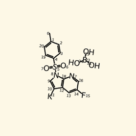 Cc1ccc(S(=O)(=O)n2c[c]([K])c3cc(F)cnc32)cc1.OB(O)O